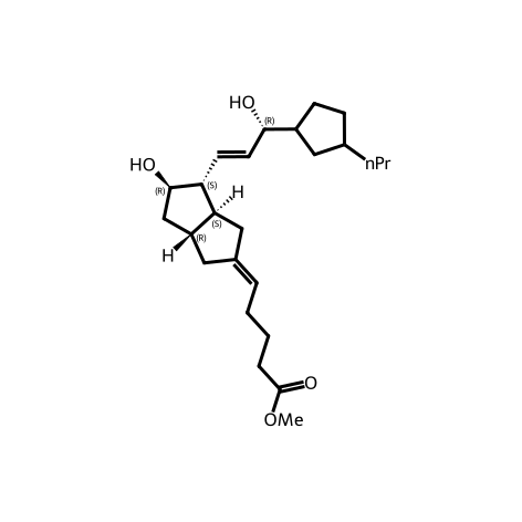 CCCC1CCC([C@@H](O)C=C[C@@H]2[C@H]3CC(=CCCCC(=O)OC)C[C@@H]3C[C@H]2O)C1